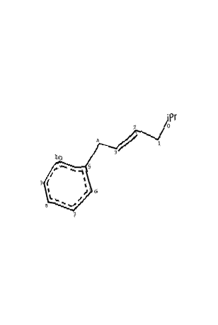 CC(C)C[C]=CCc1ccccc1